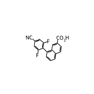 N#Cc1cc(F)c(-c2cccc3ccc(C(=O)O)cc23)c(F)c1